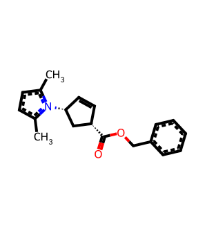 Cc1ccc(C)n1[C@@H]1C=C[C@H](C(=O)OCc2ccccc2)C1